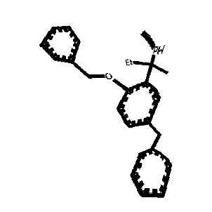 CCC(C)(PC)c1cc(Cc2ccccc2)ccc1OCc1ccccc1